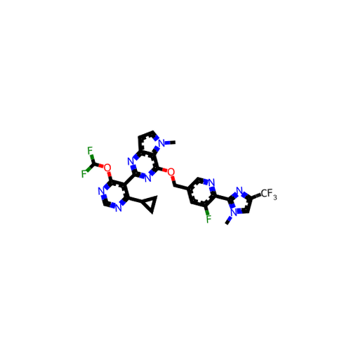 Cn1cc(C(F)(F)F)nc1-c1ncc(COc2nc(-c3c(OC(F)F)ncnc3C3CC3)nc3ccn(C)c23)cc1F